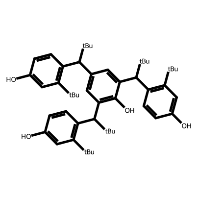 CC(C)(C)c1cc(O)ccc1C(c1cc(C(c2ccc(O)cc2C(C)(C)C)C(C)(C)C)c(O)c(C(c2ccc(O)cc2C(C)(C)C)C(C)(C)C)c1)C(C)(C)C